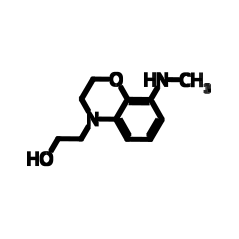 CNc1cccc2c1OCCN2CCO